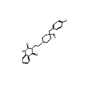 O=CC1(Cc2ccc(F)cc2)CCN(CCn2c(=O)[nH]c3ccccc3c2=O)CC1